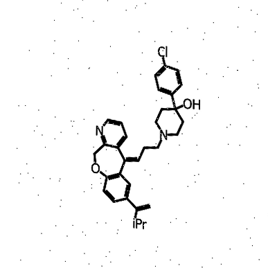 C=C(c1ccc2c(c1)/C(=C/CCN1CCC(O)(c3ccc(Cl)cc3)CC1)c1cccnc1CO2)C(C)C